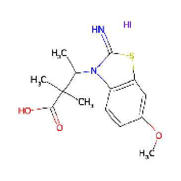 COc1ccc2c(c1)sc(=N)n2C(C)C(C)(C)C(=O)O.I